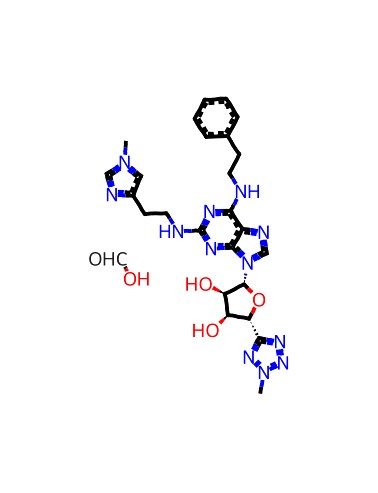 Cn1cnc(CCNc2nc(NCCc3ccccc3)c3ncn([C@@H]4O[C@H](c5nnn(C)n5)[C@@H](O)[C@H]4O)c3n2)c1.O=CO